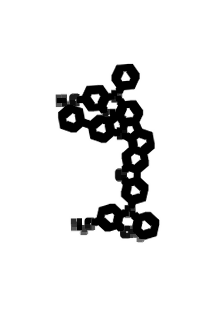 Cc1ccc(N(c2ccccc2)c2ccc3c(c2)oc2cc4c(ccc5c6ccc(N(c7ccccc7)c7ccc(C)cc7C)c7c8cc(-c9ccccc9)ccc8n(c45)c67)cc23)c(C)c1